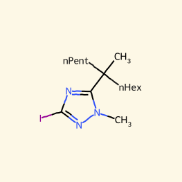 CCCCCCC(C)(CCCCC)c1nc(I)nn1C